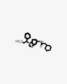 O=C(O)CC(c1ccccc1)n1cnc2cc(NC(=O)CC3CCCCC3)ccc21